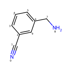 N#Cc1c[c]cc(CN)c1